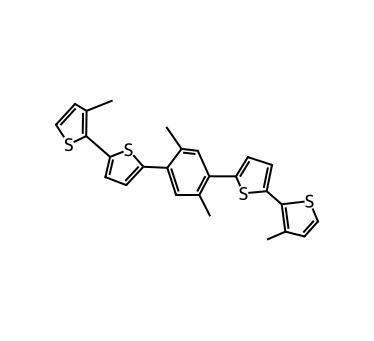 Cc1cc(-c2ccc(-c3sccc3C)s2)c(C)cc1-c1ccc(-c2sccc2C)s1